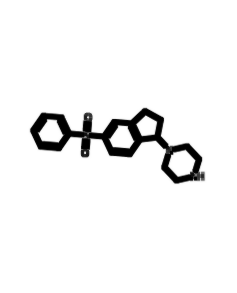 O=S(=O)(c1ccccc1)c1ccc2c(c1)CCC2N1CCNCC1